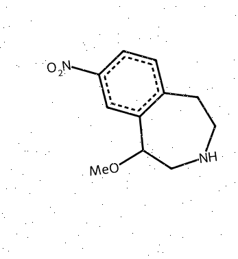 COC1CNCCc2ccc([N+](=O)[O-])cc21